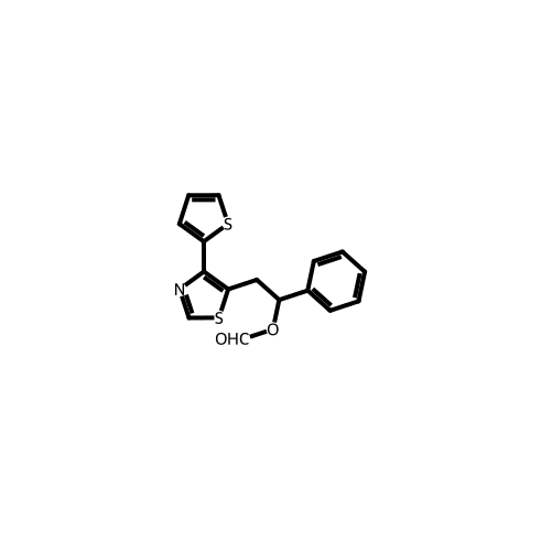 O=COC(Cc1scnc1-c1cccs1)c1ccccc1